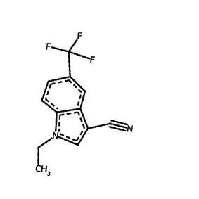 CCn1cc(C#N)c2cc(C(F)(F)F)ccc21